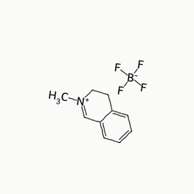 C[N+]1=Cc2ccccc2CC1.F[B-](F)(F)F